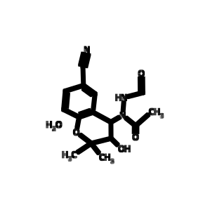 CC(=O)N(NC=O)C1c2cc(C#N)ccc2OC(C)(C)C1O.O